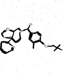 Cc1cc(C(O)N2CC[C@]3(c4ccccn4)OCOC3C2)ccc1OCC(C)(C)F